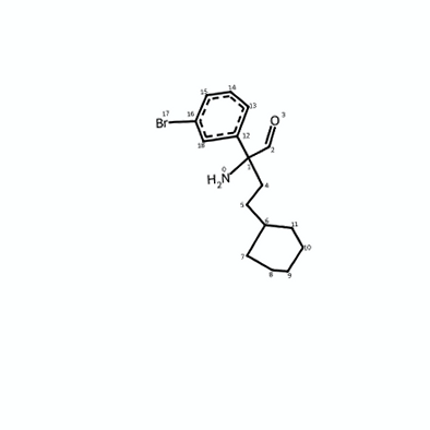 NC(C=O)(CCC1CCCCC1)c1cccc(Br)c1